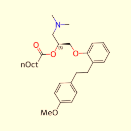 CCCCCCCCC(=O)O[C@H](COc1ccccc1CCc1ccc(OC)cc1)CN(C)C